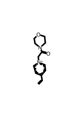 C=Cc1cc[n+](CC(=O)N2CCOCC2)cc1